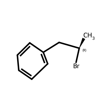 C[C@@H](Br)Cc1ccccc1